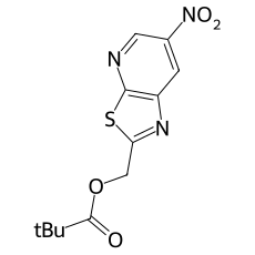 CC(C)(C)C(=O)OCc1nc2cc([N+](=O)[O-])cnc2s1